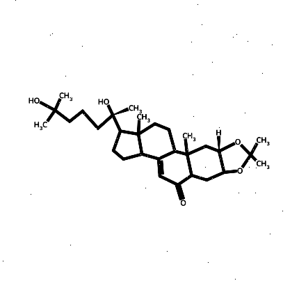 CC(C)(O)CCC[C@](C)(O)C1CCC2C3=CC(=O)C4CC5OC(C)(C)O[C@H]5CC4(C)C3CCC21C